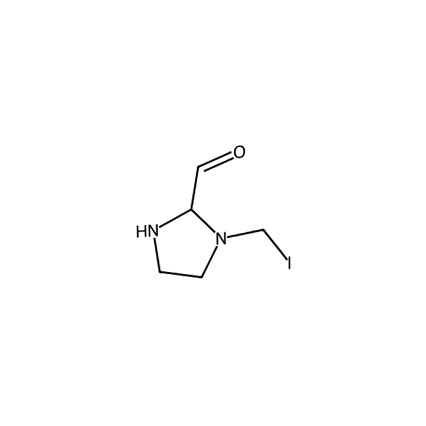 O=CC1NCCN1CI